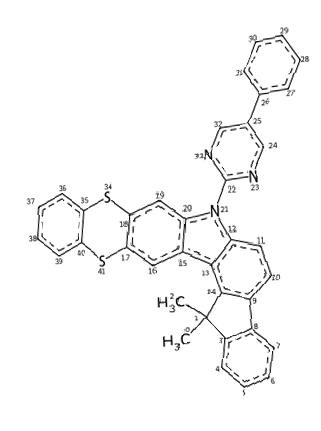 CC1(C)c2ccccc2-c2ccc3c(c21)c1cc2c(cc1n3-c1ncc(-c3ccccc3)cn1)Sc1ccccc1S2